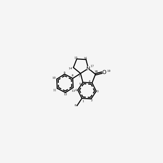 Cc1ccc2c(c1)C1(c3ccccc3)CCCN1C2=O